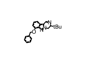 CC(C)(C)C1Cn2nc3c(OCc4ccccc4)cccc3c2C=N1